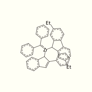 CCc1ccc2c(c1)[CH]([Zr](=[C](c1ccccc1)c1ccccc1)[CH]1C(c3ccccc3)=Cc3ccccc31)c1cc(CC)ccc1-2